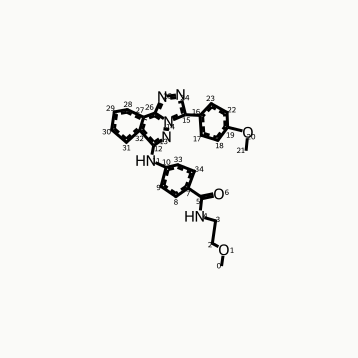 COCCNC(=O)c1ccc(Nc2nn3c(-c4ccc(OC)cc4)nnc3c3ccccc23)cc1